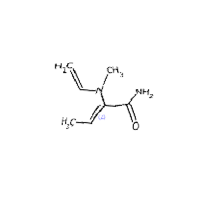 C=CN(C)/C(=C\C)C(N)=O